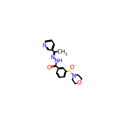 C/C(=N\NC(=O)c1cccc([S+]([O-])N2CCOCC2)c1)c1cccnc1